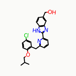 CC(C)COc1ccc(Cl)cc1Cc1cccc(-c2nc3cc(CO)ccc3[nH]2)n1